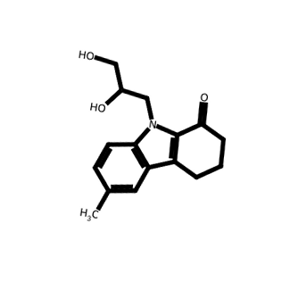 Cc1ccc2c(c1)c1c(n2CC(O)CO)C(=O)CCC1